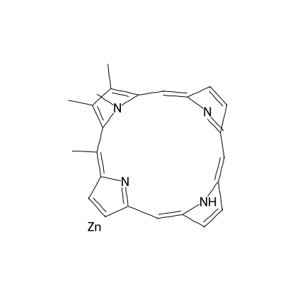 Cc1c(C)c2c(C)c3nc(cc4ccc(cc5nc(cc1n2C)C=C5)[nH]4)C=C3.[Zn]